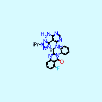 CC(C)n1nnc(-c2c(N)ncnc2N[C@@H](C)c2nc3cccc(F)c3c(=O)n2-c2ccccc2)n1